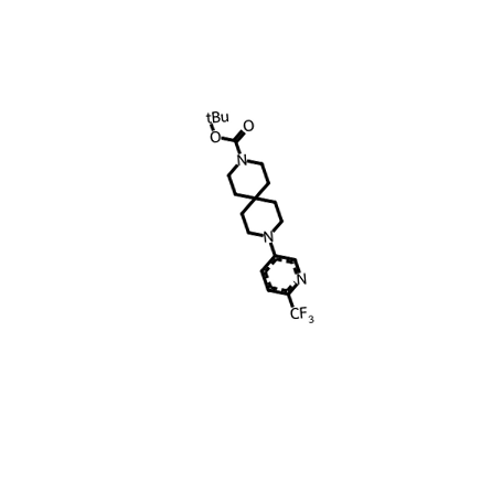 CC(C)(C)OC(=O)N1CCC2(CC1)CCN(c1ccc(C(F)(F)F)nc1)CC2